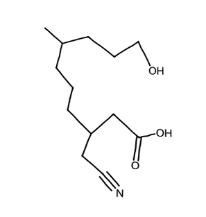 CC(CCCO)CCCC(CC#N)CC(=O)O